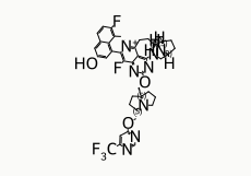 Cc1c(F)ccc2cc(O)cc(-c3c(F)c4nc(OC[C@@]56CCCN5[C@H](COc5cc(C(F)(F)F)ncn5)CC6)nc5c4c([n+]3C)CC[C@@H]3[C@@H]4CC[C@H](CN53)N4)c12